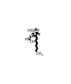 CCCCCCCC(F)C(F)(F)S(=O)(=O)O.CNC